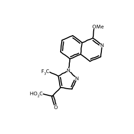 COc1nccc2c(-n3ncc(C(=O)C(=O)O)c3C(F)(F)F)cccc12